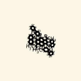 CC1C=C(N(c2cccc3ccccc23)c2cc(C(C)C)c3ccc4c(N(c5cccc6ccccc56)c5cccc6c5oc5ccccc56)cc(C(C)C)c5ccc2c3c54)c2oc3ccccc3c2C1